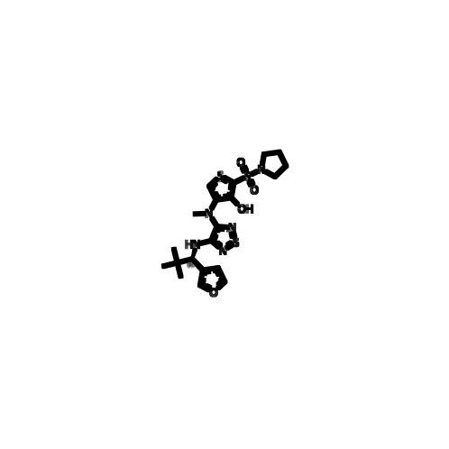 CN(c1csc(S(=O)(=O)N2CCCC2)c1O)c1nsnc1N[C@@H](c1ccoc1)C(C)(C)C